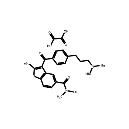 CCCCc1oc2ccc(C(=O)N(C)C)cc2c1C(=O)c1ccc(CCCN(CCCC)CCCC)cc1.O=C(O)C(=O)O